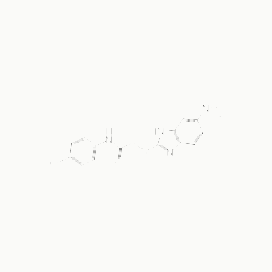 O=C(CSc1nc2ccc([N+](=O)[O-])cc2[nH]1)Nc1ccc(Cl)cc1